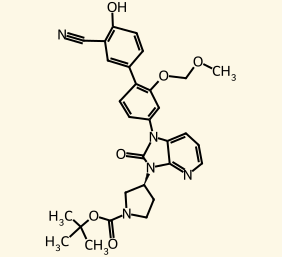 COCOc1cc(-n2c(=O)n([C@H]3CCN(C(=O)OC(C)(C)C)C3)c3ncccc32)ccc1-c1ccc(O)c(C#N)c1